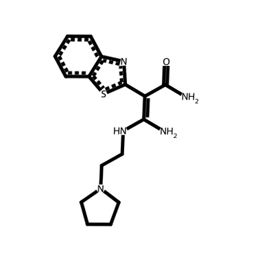 NC(=O)/C(=C(\N)NCCN1CCCC1)c1nc2ccccc2s1